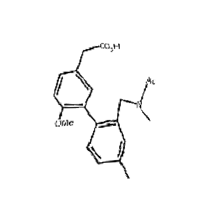 COc1ccc(CC(=O)O)cc1-c1ccc(C)cc1CN(C)C(C)=O